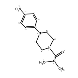 CN(C)C(=O)N1CCN(c2ccc([N+](=O)[O-])cc2)CC1